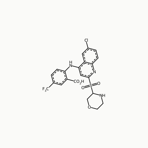 O=C(O)c1cc(C(F)(F)F)ccc1Nc1cc(S(=O)(=O)C2COCCN2)nc2ccc(Cl)cc12